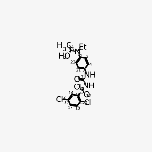 CCN(c1ccc(NC(=O)NS(=O)(=O)c2cc(Cl)ccc2Cl)cc1)C(C)O